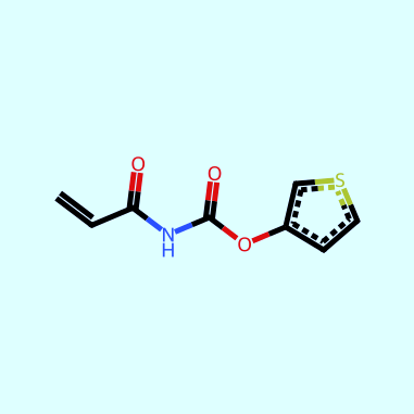 C=CC(=O)NC(=O)Oc1ccsc1